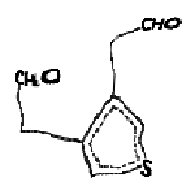 O=CCc1cscc1CC=O